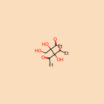 CCC(=O)C(O)(CO)C(O)(C(=O)CC)C(=O)CC